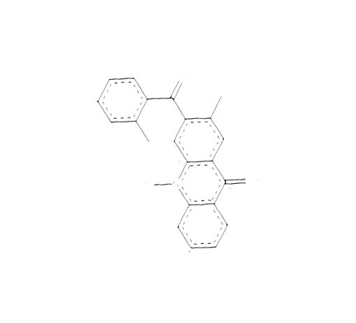 CCn1c2ccccc2c(=O)c2cc(C)c(C(=O)c3ccccc3C)cc21